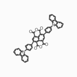 O=C1OC(=O)c2c(-c3ccc(-n4c5ccccc5c5ccccc54)cc3)cc3c4c(c(-c5ccc(-n6c7ccccc7c7ccccc76)cc5)cc1c24)C(=O)OC3=O